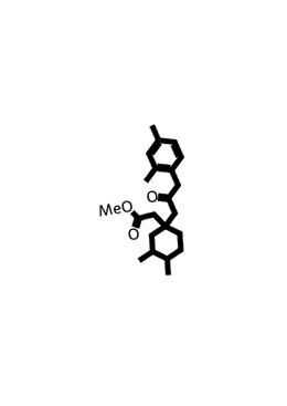 COC(=O)CC1(CC(=O)Cc2ccc(C)cc2C)CCC(C)C(C)C1